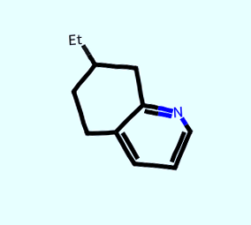 [CH2]CC1CCc2cccnc2C1